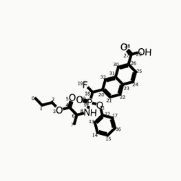 CCCOC(=O)C(C)NP(=O)(Oc1ccccc1)C(F)c1ccc2ccc(C(=O)O)cc2c1